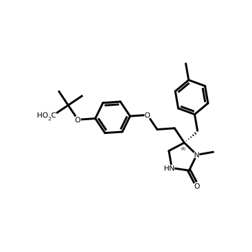 Cc1ccc(C[C@@]2(CCOc3ccc(OC(C)(C)C(=O)O)cc3)CNC(=O)N2C)cc1